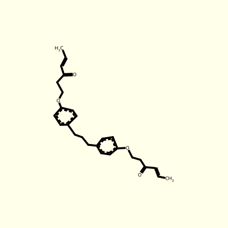 CC=CC(=O)CCOc1ccc(CCCc2ccc(OCCC(=O)C=CC)cc2)cc1